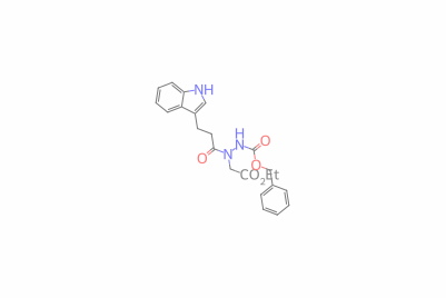 CCOC(=O)CN(NC(=O)OCc1ccccc1)C(=O)CCc1c[nH]c2ccccc12